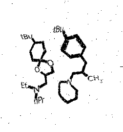 CC(Cc1ccc(C(C)(C)C)cc1)CN1CCCCC1.CCCN(CC)CC1COC2(CCC(C(C)(C)C)CC2)O1